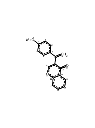 C=C(c1ccc(OC)cc1)c1coc2ccccc2c1=O